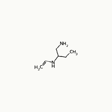 C=CNC(CC)CN